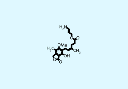 COc1c(C)c2c(c(O)c1CC=C(C)CCC(=O)OCC=CN)C(=O)OC2